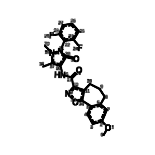 COc1ccc2c(c1)CCCc1c(C(=O)Nc3c(C)n(C)n(-c4c(F)cccc4F)c3=O)noc1-2